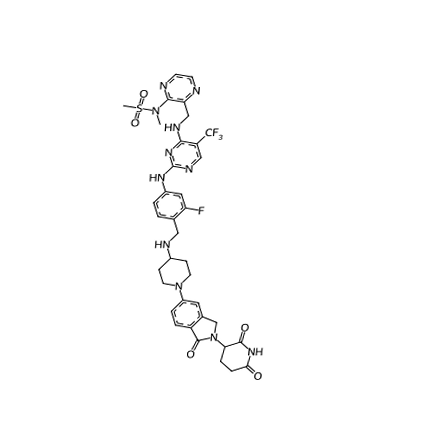 CN(c1nccnc1CNc1nc(Nc2ccc(CNC3CCN(c4ccc5c(c4)CN(C4CCC(=O)NC4=O)C5=O)CC3)c(F)c2)ncc1C(F)(F)F)S(C)(=O)=O